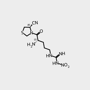 N#C[C@@H]1CSCN1C(=O)[C@@H](N)CCCNC(=N)N[N+](=O)[O-]